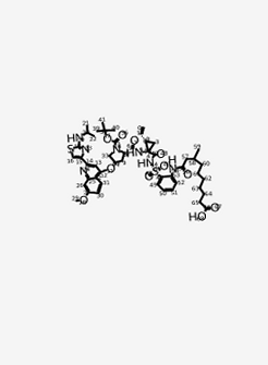 C=C[C@@H]1C[C@]1(NC(=O)[C@@H]1C[C@@H](Oc2cc(-c3csc(NC(C)C)n3)nc3cc(OC)ccc23)CN1C(=O)OC(C)(C)C)C(=O)NS(=O)(=O)c1ccccc1NC(=O)CC(C)CCCCCCC(=O)O